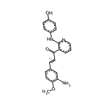 COc1ccc(/C=C/C(=O)c2cccnc2Nc2ccc(O)cc2)cc1N